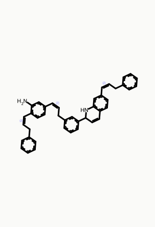 Nc1cc(/C=C\Cc2cccc(C3C=Cc4ccc(/C=C\Cc5ccccc5)cc4N3)c2)ccc1/C=C\Cc1ccccc1